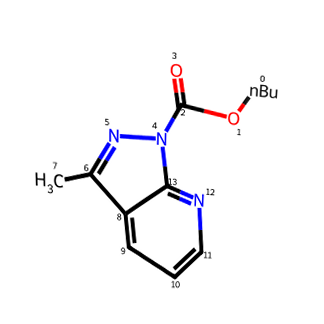 CCCCOC(=O)n1nc(C)c2cccnc21